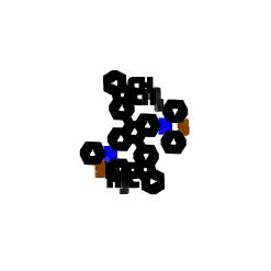 CC1(C)c2ccccc2-c2ccc(-c3c4ccc(N5c6ccccc6Sc6ccccc65)cc4c(-c4ccc5c(c4)C(C)(C)c4ccccc4-5)c4cc(N5c6ccccc6Sc6ccccc65)ccc34)cc21